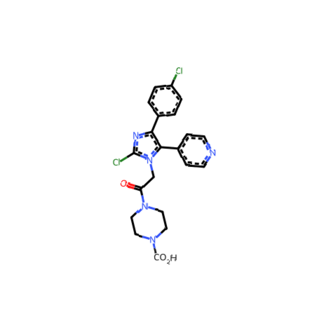 O=C(O)N1CCN(C(=O)Cn2c(Cl)nc(-c3ccc(Cl)cc3)c2-c2ccncc2)CC1